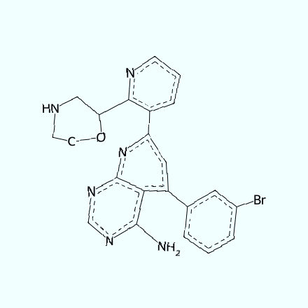 Nc1ncnc2nc(-c3cccnc3C3CNCCO3)cc(-c3cccc(Br)c3)c12